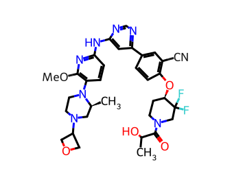 COc1nc(Nc2cc(-c3ccc(O[C@@H]4CCN(C(=O)C(C)O)CC4(F)F)c(C#N)c3)ncn2)ccc1N1CCN(C2COC2)C[C@@H]1C